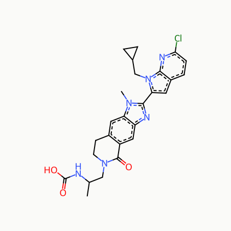 CC(CN1CCc2cc3c(cc2C1=O)nc(-c1cc2ccc(Cl)nc2n1CC1CC1)n3C)NC(=O)O